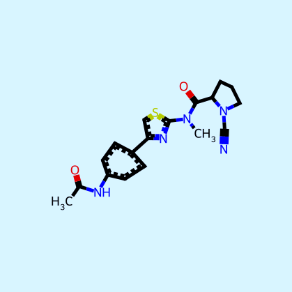 CC(=O)Nc1ccc(-c2csc(N(C)C(=O)C3CCCN3C#N)n2)cc1